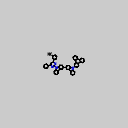 N#Cc1cccc(-c2cc(-c3ccccc3)nc(-n3c4ccccc4c4cc(-c5ccc6c(c5)c5ccccc5n6-c5ccc6c7ccccc7c7ccccc7c6c5)ccc43)n2)c1